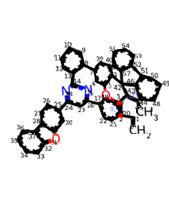 C=C/C=C1/Oc2cc(-c3ccccc3-c3nc(-c4ccccc4)cc(-c4ccc5c(c4)oc4ccccc45)n3)ccc2C2(/C1=C/C)c1ccccc1-c1ccccc12